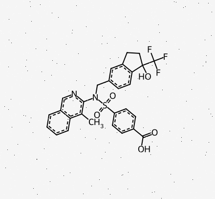 Cc1c(N(Cc2ccc3c(c2)CCC3(O)C(F)(F)F)S(=O)(=O)c2ccc(C(=O)O)cc2)ncc2ccccc12